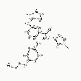 Cc1nsc(NC(=O)c2nc(Sc3nnc[nH]3)ccc2Sc2ccc(OCCO)cc2)n1